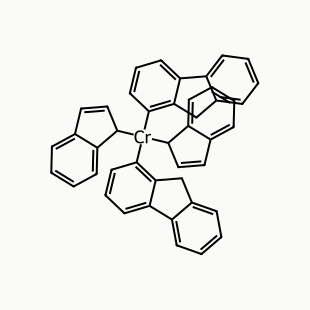 C1=C[CH]([Cr]([c]2cccc3c2Cc2ccccc2-3)([c]2cccc3c2Cc2ccccc2-3)[CH]2C=Cc3ccccc32)c2ccccc21